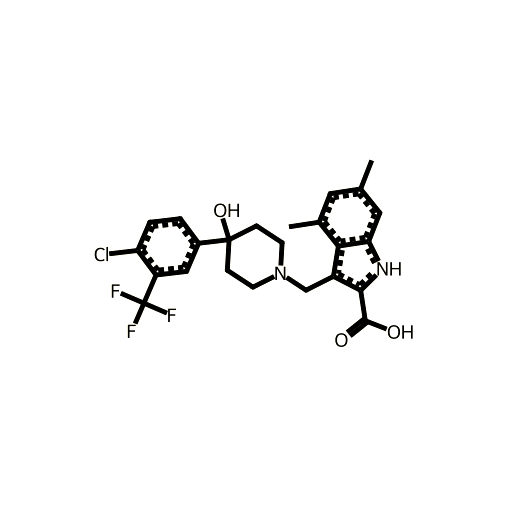 Cc1cc(C)c2c(CN3CCC(O)(c4ccc(Cl)c(C(F)(F)F)c4)CC3)c(C(=O)O)[nH]c2c1